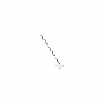 Cl[Si](Cl)(Cl)CCCCCCCCCCCCCCCI